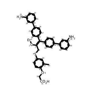 CCOC(CSc1ccc(OCC(=O)O)c(C)c1)=C(c1ccc(-c2cccc(N)c2)cc1)c1ccc(-c2cccc(N)c2)cc1